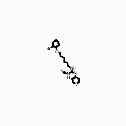 N#CN/C(=N\c1ccncc1)NCCCCCCOc1ccccc1Br